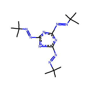 CC(C)(C)N=Nc1nc(N=NC(C)(C)C)nc(N=NC(C)(C)C)n1